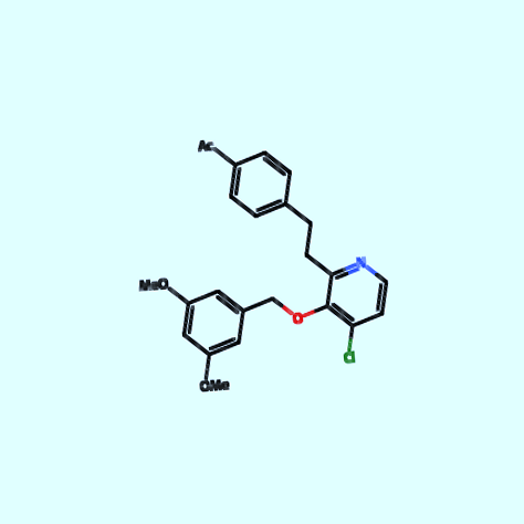 COc1cc(COc2c(Cl)ccnc2CCc2ccc(C(C)=O)cc2)cc(OC)c1